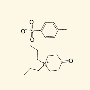 CCC[N+]1(CCC)CCC(=O)CC1.Cc1ccc(S(=O)(=O)[O-])cc1